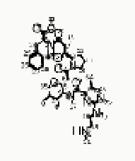 CC[C@H](C)[C@@H]([C@@H](CC(=O)N1CCC[C@H]1[C@H](OC)[C@@H](C)C(=O)N[C@@H](Cc1ccccc1)C(=O)OC)OC)N(C)C(=O)[C@@H](N=C(N(C)C)N(C)CCNC)C(C)C